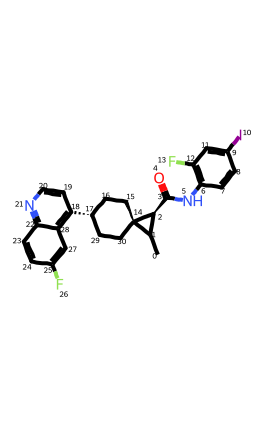 CC1[C@H](C(=O)Nc2ccc(I)cc2F)[C@]12CC[C@@H](c1ccnc3ccc(F)cc31)CC2